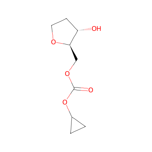 O=C(OC[C@H]1OCC[C@@H]1O)OC1CC1